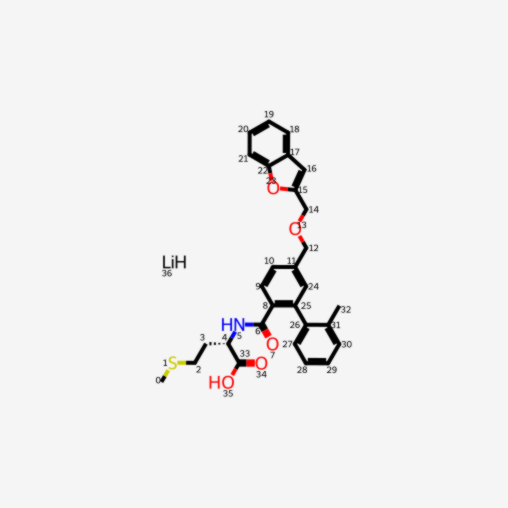 CSCC[C@H](NC(=O)c1ccc(COCc2cc3ccccc3o2)cc1-c1ccccc1C)C(=O)O.[LiH]